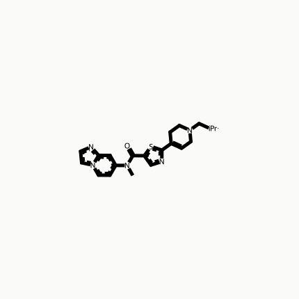 C[C](C)CN1CC=C(c2ncc(C(=O)N(C)c3ccn4ccnc4c3)s2)CC1